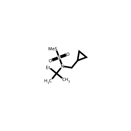 CCC(C)(C)N(CC1CC1)S(=O)(=O)SC